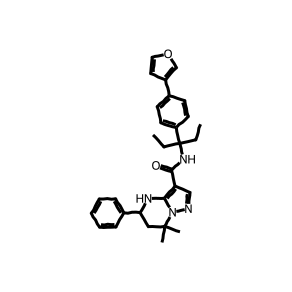 CCC(CC)(NC(=O)c1cnn2c1NC(c1ccccc1)CC2(C)C)c1ccc(-c2ccoc2)cc1